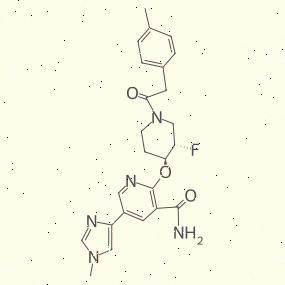 Cc1ccc(CC(=O)N2CC[C@H](Oc3ncc(-c4cn(C)cn4)cc3C(N)=O)[C@@H](F)C2)cc1